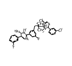 CC(C)(C)C1NC(c2cc(F)cc(CC(C)(C)C3NC(c4cccc(Cl)c4)=NC=C3Cl)c2)=NC=C1c1cccc(F)c1